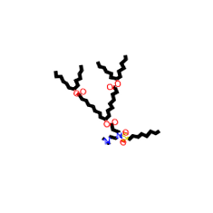 CCCCCCCCS(=O)(=O)N(CCC(=O)OC(CCCCCCCC(=O)OC(CCCCCC)CCCCCC)CCCCCCCC(=O)OC(CCCCCC)CCCCCC)CCN(C)C